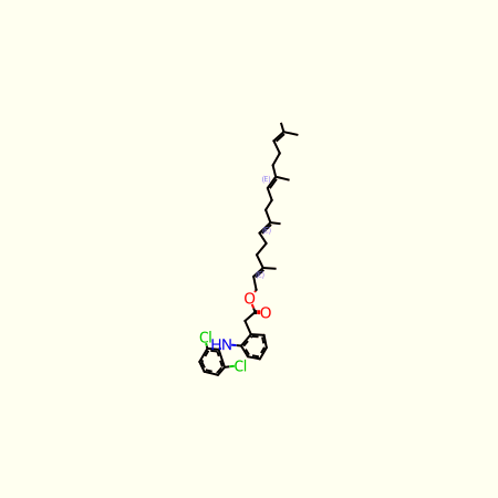 CC(C)=CCC/C(C)=C/CC/C(C)=C/CC/C(C)=C/COC(=O)Cc1ccccc1Nc1c(Cl)cccc1Cl